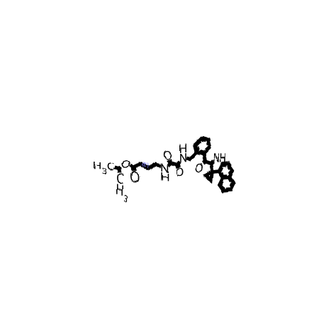 CC(C)OC(=O)/C=C/CNC(=O)C(=O)NCc1ccccc1C(=O)C(=N)C1(c2cccc3ccccc23)CC1